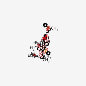 C=C(Br)C[C@@H](CC[C@@]12CC3O[C@H]4C(O1)[C@H]1O[C@@H](CC(O)C(C5[C@H](CC6O[C@@H](CCCO[Si](CC)(CC)CC)C[C@@H](C)C6=C)O[C@H](C[C@H](C)CO[Si](C)(C)C(C)(C)C)[C@@H]5C)S(=O)(=O)c5ccccc5)CC[C@@H]1O[C@H]4[C@H]3O2)OC(=O)c1ccccc1